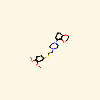 COc1ccc(SCCN2CCN(c3cccc4c3OCCO4)CC2)cc1OC